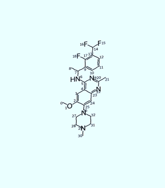 COc1cc2c(NC(C)c3cccc(C(F)F)c3F)nc(C)nc2cc1N1CCN(C)CC1